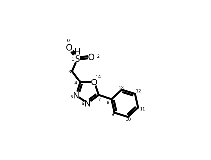 O=[SH](=O)Cc1nnc(-c2ccccc2)o1